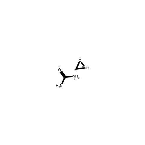 C1NO1.NC(N)=O